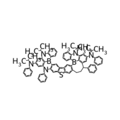 CC(C)N(c1ccccc1)c1cc2c3c(c1)N(C(C)C)c1ccccc1B3c1cc3c(cc1CCC2c1ccccc1)sc1cc2c(cc13)B1c3ccccc3N(C(C)C)c3cc(N(c4ccccc4)C(C)C)cc(c31)N2c1ccccc1